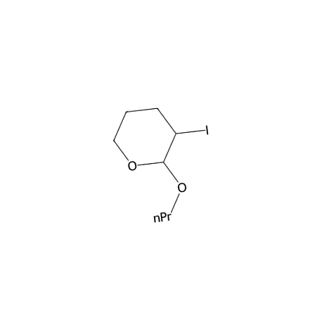 CCCOC1OCCCC1I